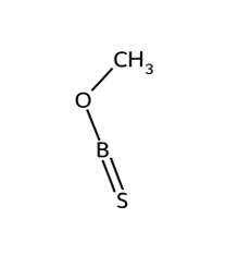 COB=S